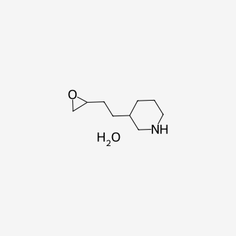 C1CNCC(CCC2CO2)C1.O